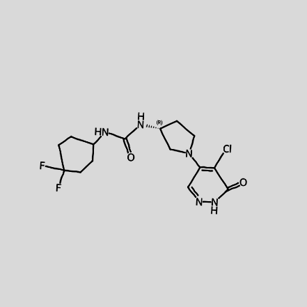 O=C(NC1CCC(F)(F)CC1)N[C@@H]1CCN(c2cn[nH]c(=O)c2Cl)C1